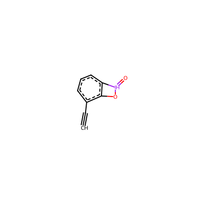 C#Cc1cccc2c1O[IH]2=O